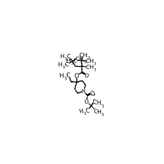 CCC1(OC(=O)C(C)(CC(C)(C)C)C(C)(C)C)CCN(C(=O)OC(C)(C)C)CC1